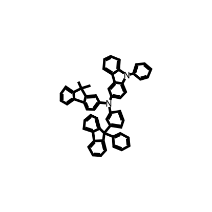 CC1(C)c2ccccc2-c2ccc(N(c3cccc(C4(c5ccccc5)c5ccccc5-c5ccccc54)c3)c3ccc4c(c3)c3ccccc3n4-c3ccccc3)cc21